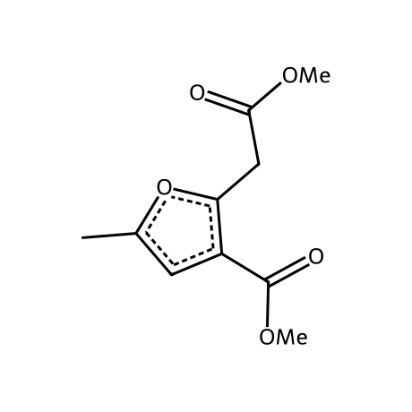 COC(=O)Cc1oc(C)cc1C(=O)OC